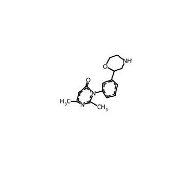 Cc1cc(=O)n(-c2cccc(C3CNCCO3)c2)c(C)n1